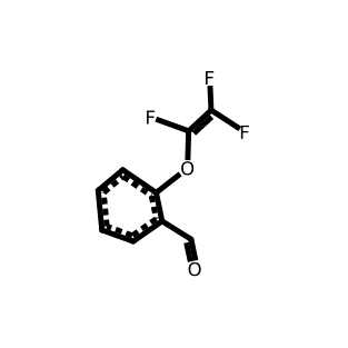 O=Cc1ccccc1OC(F)=C(F)F